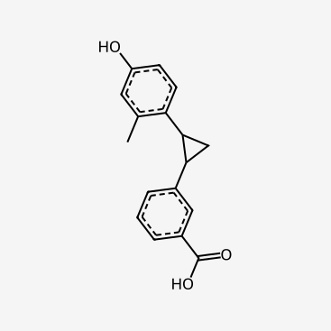 Cc1cc(O)ccc1C1CC1c1cccc(C(=O)O)c1